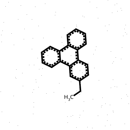 CCc1ccc2c3ccccc3c3ccccc3c2c1